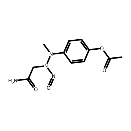 CC(=O)Oc1ccc(N(C)N(CC(N)=O)N=O)cc1